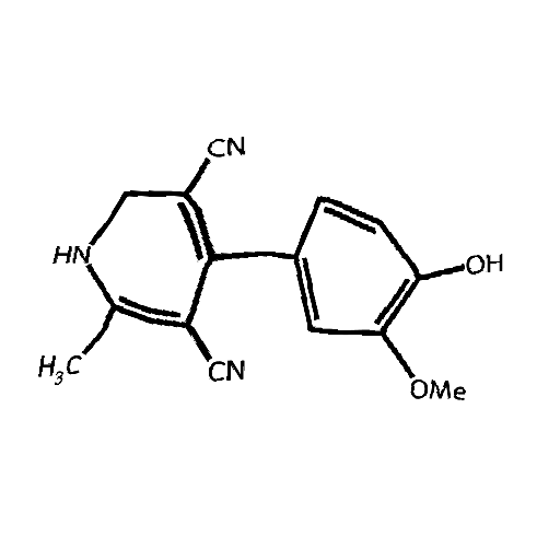 COc1cc(C2=C(C#N)CNC(C)=C2C#N)ccc1O